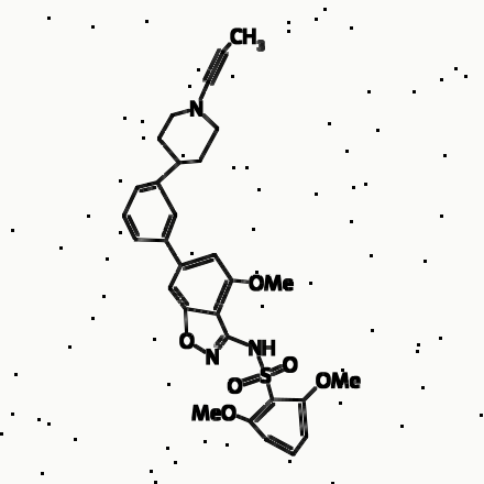 CC#CN1CCC(c2cccc(-c3cc(OC)c4c(NS(=O)(=O)c5c(OC)cccc5OC)noc4c3)c2)CC1